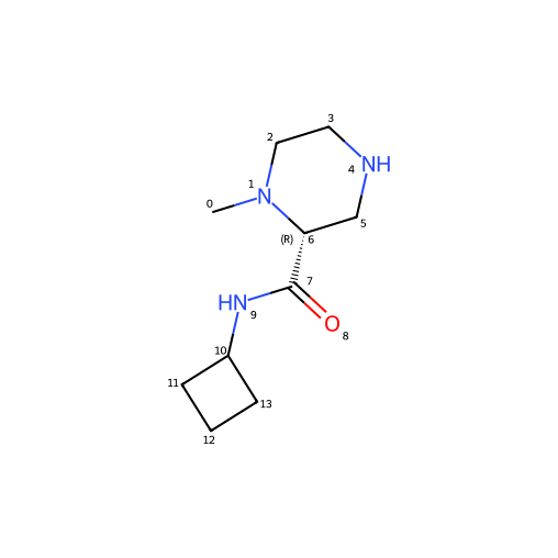 CN1CCNC[C@@H]1C(=O)NC1CCC1